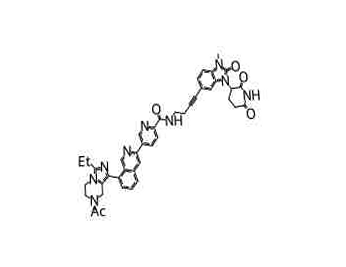 CCc1nc(-c2cccc3cc(-c4ccc(C(=O)NCCC#Cc5ccc6c(c5)n(C5CCC(=O)NC5=O)c(=O)n6C)nc4)ncc23)c2n1CCN(C(C)=O)C2